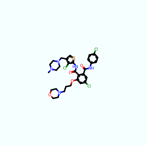 CN1CCN(Cc2csc(NC(=O)c3c(OCCCN4CCOCC4)cc(Cl)cc3C(=O)Nc3ccc(Cl)cc3)c2Cl)CC1